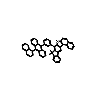 CC1(C)c2ccccc2-c2cc3c(sc4ccc5ccccc5c43)c(-c3cccc(-c4c5ccccc5c(-c5cccc6ccccc56)c5ccccc45)c3)c21